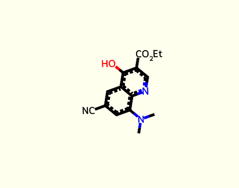 CCOC(=O)c1cnc2c(N(C)C)cc(C#N)cc2c1O